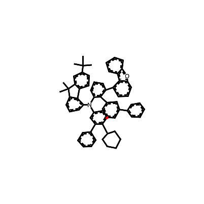 CC(C)(C)c1ccc2c(c1)C(C)(C)c1cccc(N(c3ccc(C4CCCCC4)c(-c4ccccc4)c3)c3cccc(-c4cccc5oc6ccccc6c45)c3-c3cccc(-c4ccccc4)c3)c1-2